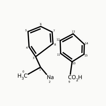 C[CH]([Na])c1ccccc1.O=C(O)c1ccccc1